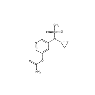 CS(=O)(=O)N(c1cncc(OC(N)=O)c1)C1CC1